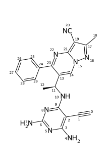 C#Cc1c(N)nc(N)nc1N[C@@H](C)c1cn2nc(C)c(C#N)c2nc1-c1ccccc1